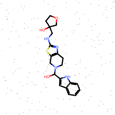 OC(c1cc2ccccc2[nH]1)N1CCc2nc(NCC3(O)CCOC3)sc2C1